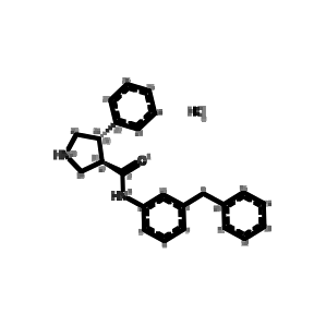 Cl.O=C(Nc1cccc(Cc2ccccc2)c1)[C@H]1CNC[C@@H]1c1ccccc1